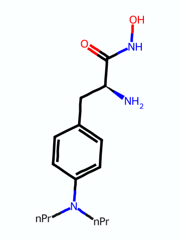 CCCN(CCC)c1ccc(C[C@H](N)C(=O)NO)cc1